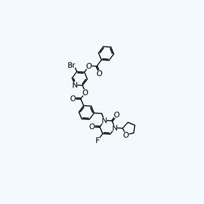 O=C(Oc1cc(OC(=O)c2ccccc2)c(Br)cn1)c1cccc(Cn2c(=O)c(F)cn(C3CCCO3)c2=O)c1